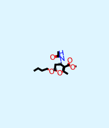 CCCCO[C@H]1C[C@H](NC(C)=O)C(C(=O)OC)=C(C)O1